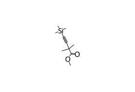 COC(=O)C(C)(C)C#C[Si](C)(C)C